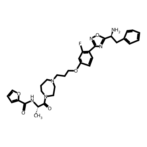 C[C@H](NC(=O)c1ccco1)C(=O)N1CCCN(CCCOc2ccc(-c3noc([C@@H](N)Cc4ccccc4)n3)c(F)c2)CC1